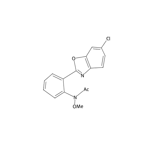 CON(C(C)=O)c1ccccc1-c1nc2ccc(Cl)cc2o1